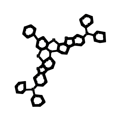 c1ccc(-c2cc3c4c(c2)Oc2c(ccc5c2oc2cc(N(c6ccccc6)c6ccccc6)ccc25)B4c2ccc4c(oc5cc(N(c6ccccc6)c6ccccc6)ccc54)c2O3)cc1